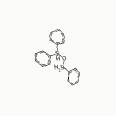 c1ccc([SiH2]O[SiH](c2ccccc2)c2ccccc2)cc1